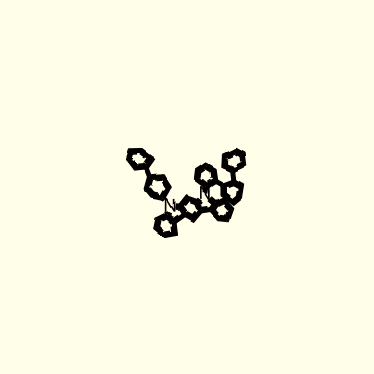 c1ccc(-c2ccc(-n3c4ccccc4c4cc5c6ccccc6n(-c6ccccc6-c6ccccc6-c6ccccc6)c5cc43)cc2)cc1